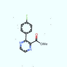 COC(=O)c1nccnc1-c1ccc(F)cc1